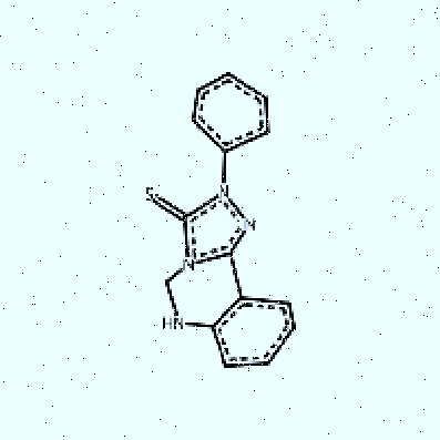 S=c1n(-c2ccccc2)nc2n1CNc1ccccc1-2